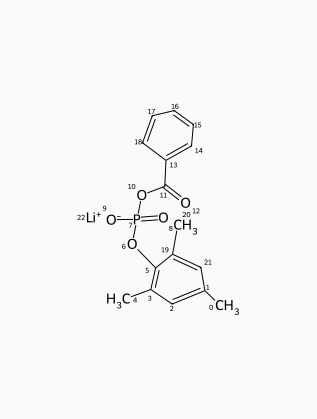 Cc1cc(C)c(OP(=O)([O-])OC(=O)c2ccccc2)c(C)c1.[Li+]